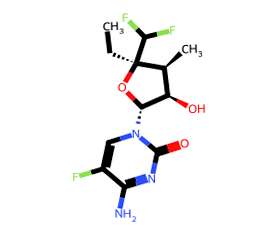 CC[C@@]1(C(F)F)O[C@@H](n2cc(F)c(N)nc2=O)[C@H](O)[C@@H]1C